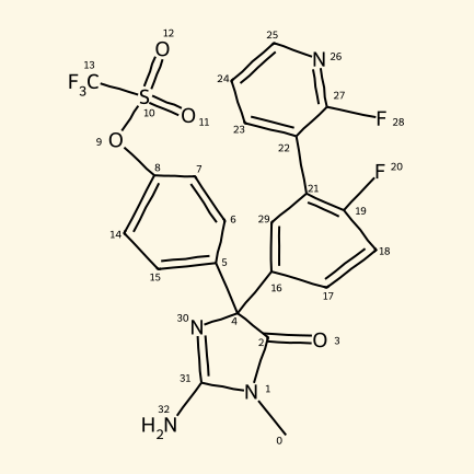 CN1C(=O)C(c2ccc(OS(=O)(=O)C(F)(F)F)cc2)(c2ccc(F)c(-c3cccnc3F)c2)N=C1N